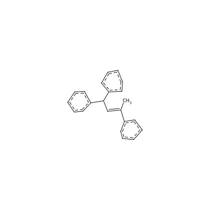 CC(=CC(c1ccccc1)c1ccccc1)c1ccccc1